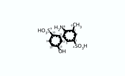 Cc1cc(S(=O)(=O)O)ccc1N.O=S(=O)(O)c1ccc(O)cc1